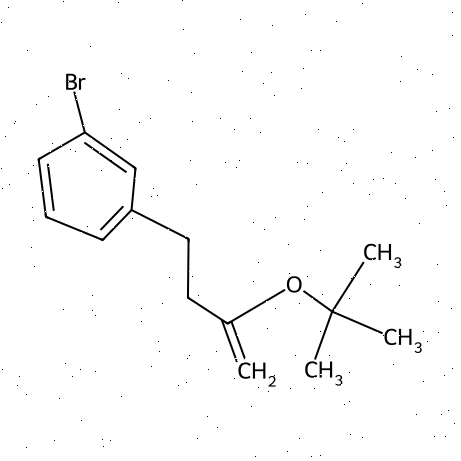 C=C(CCc1cccc(Br)c1)OC(C)(C)C